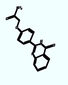 NC(=O)COc1ccc(-c2nc3ccccc3c(=O)[nH]2)cc1